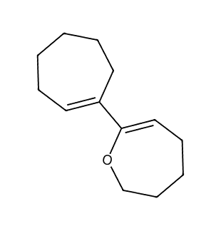 C1=C(C2=CCCCCO2)CCCCC1